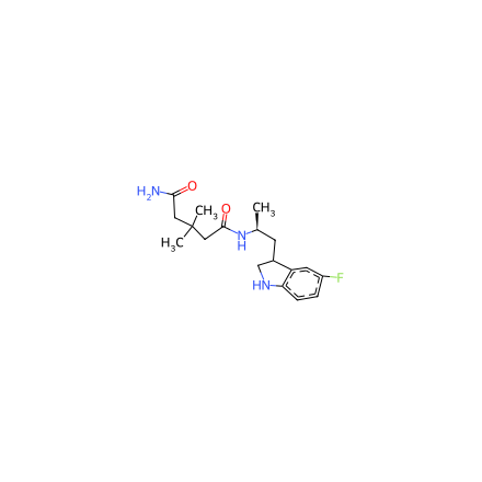 C[C@@H](CC1CNc2ccc(F)cc21)NC(=O)CC(C)(C)CC(N)=O